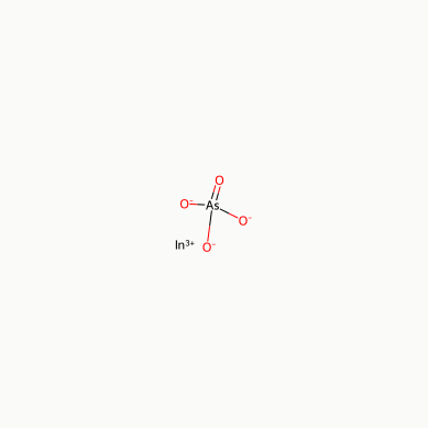 O=[As]([O-])([O-])[O-].[In+3]